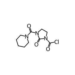 O=C(Cl)N1CCN(C(=O)N2CCCCC2)C1=O